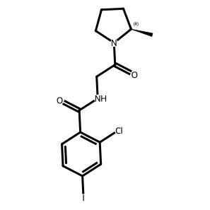 C[C@@H]1CCCN1C(=O)CNC(=O)c1ccc(I)cc1Cl